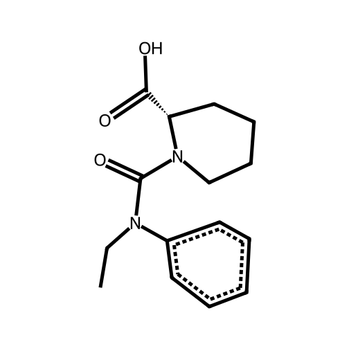 CCN(C(=O)N1CCCC[C@H]1C(=O)O)c1ccccc1